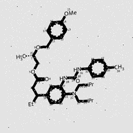 CCC(CC(=O)OC[C@H](C)OCc1ccc(OC)cc1)c1ccc(N(CC(C)C)CC(C)C)c(NC(=O)Nc2ccc(C)cc2)c1